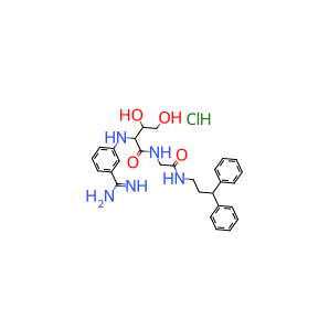 Cl.N=C(N)c1cccc(NC(C(=O)NCC(=O)NCCC(c2ccccc2)c2ccccc2)C(O)CO)c1